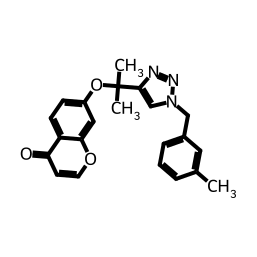 Cc1cccc(Cn2cc(C(C)(C)Oc3ccc4c(=O)ccoc4c3)nn2)c1